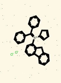 C1=CC[C]([Ti+2](=[C](c2ccccc2)c2ccccc2)[c]2cccc3c2Cc2ccccc2-3)=C1.[Cl-].[Cl-]